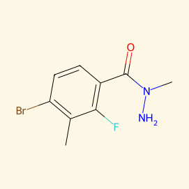 Cc1c(Br)ccc(C(=O)N(C)N)c1F